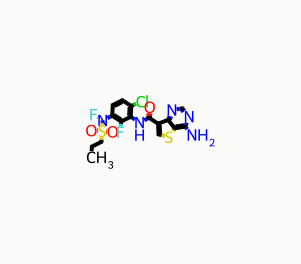 CCCS(=O)(=O)N(F)c1ccc(Cl)c(NC(=O)c2csc3c(N)ncnc23)c1F